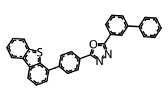 c1ccc(-c2cccc(-c3nnc(-c4ccc(-c5cccc6c5sc5ccccc56)cc4)o3)c2)cc1